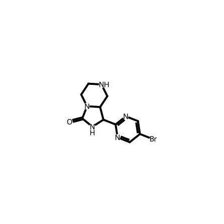 O=C1NC(c2ncc(Br)cn2)C2CNCCN12